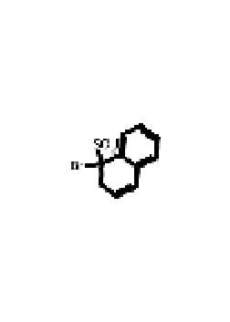 O=S(=O)(O)C1(Br)CC=Cc2ccccc21